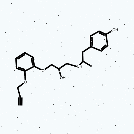 C#CCOc1ccccc1OCC(O)CNC(C)Cc1ccc(O)cc1